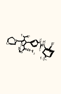 Nc1ncnn2c(CN3CCOCC3)c(C(F)F)c(-c3ccc(NC(=O)Nc4cc(C(F)(F)F)ccc4F)cc3)c12